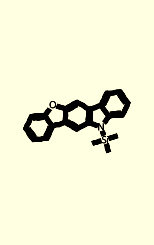 C[Si](C)(C)n1c2ccccc2c2cc3oc4ccccc4c3cc21